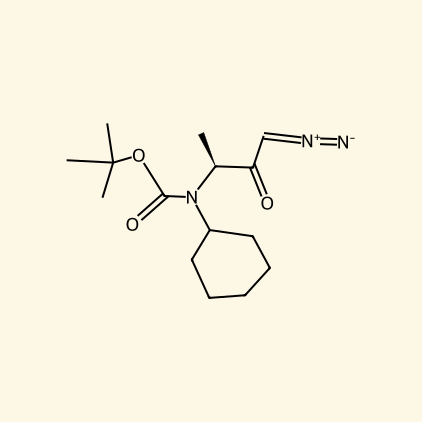 C[C@@H](C(=O)C=[N+]=[N-])N(C(=O)OC(C)(C)C)C1CCCCC1